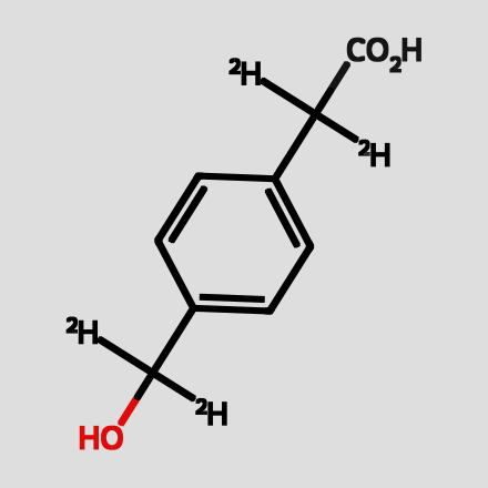 [2H]C([2H])(O)c1ccc(C([2H])([2H])C(=O)O)cc1